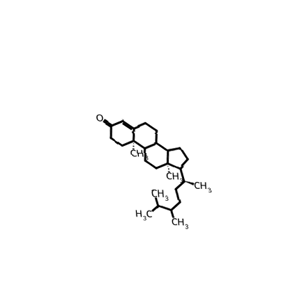 CC(C)C(C)CC[C@H](C)C1CCC2C3CCC4=CC(=O)CC[C@]4(C)C3CC[C@@]21C